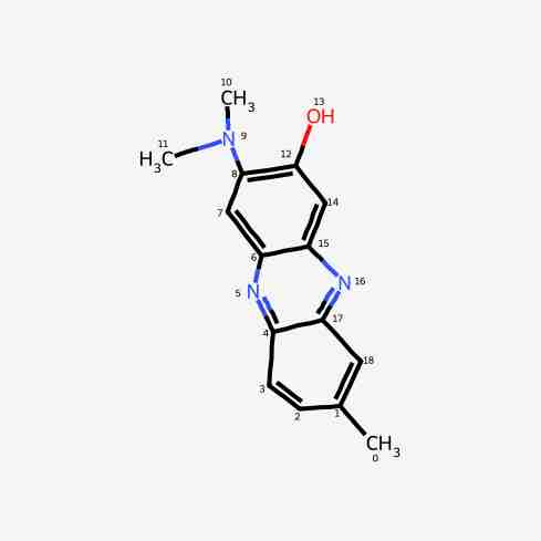 Cc1ccc2nc3cc(N(C)C)c(O)cc3nc2c1